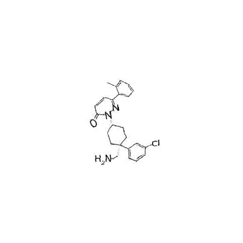 Cc1ccccc1-c1ccc(=O)n([C@H]2CC[C@](CN)(c3cccc(Cl)c3)CC2)n1